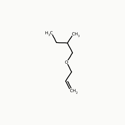 C=CCOCC(C)CC